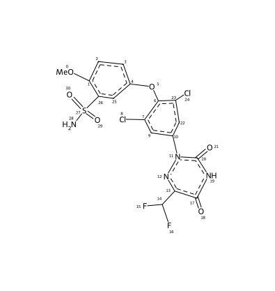 COc1ccc(Oc2c(Cl)cc(-n3nc(C(F)F)c(=O)[nH]c3=O)cc2Cl)cc1S(N)(=O)=O